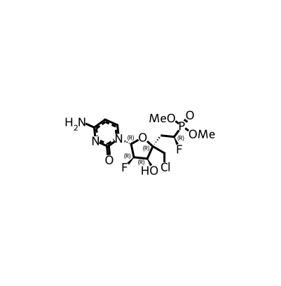 COP(=O)(OC)[C@@H](F)C[C@@]1(CCl)O[C@@H](n2ccc(N)nc2=O)[C@H](F)[C@@H]1O